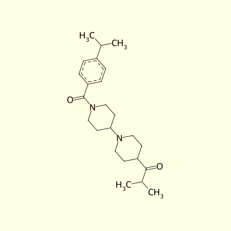 CC(C)C(=O)C1CCN(C2CCN(C(=O)c3ccc(C(C)C)cc3)CC2)CC1